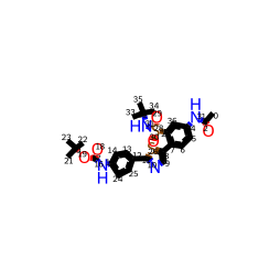 CC(=O)Nc1ccc(-c2cnc(-c3ccc(NC(=O)OC(C)(C)C)cc3)s2)c(S(=O)(=O)NC(C)(C)C)c1